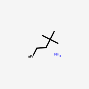 N.[CH2]CCCCC(C)(C)C